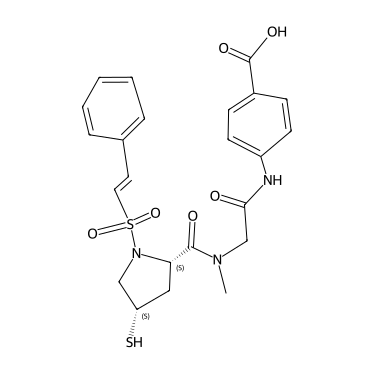 CN(CC(=O)Nc1ccc(C(=O)O)cc1)C(=O)[C@@H]1C[C@H](S)CN1S(=O)(=O)C=Cc1ccccc1